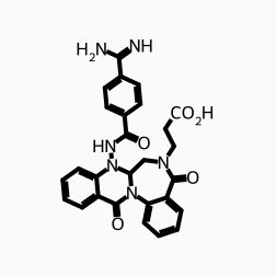 N=C(N)c1ccc(C(=O)NN2c3ccccc3C(=O)N3c4ccccc4C(=O)N(CCC(=O)O)CC23)cc1